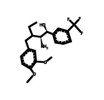 CCC(Cc1ccc(OC)c(OC)c1)[C@@H](N)[C@H](O)c1cccc(C(F)(F)F)c1